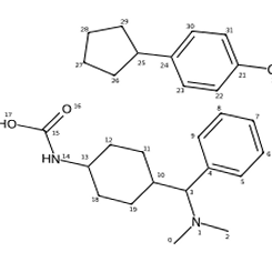 CN(C)C(c1ccccc1)C1CCC(NC(=O)O)CC1.Clc1ccc(C2CCCC2)cc1